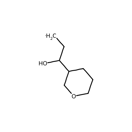 [CH2]CC(O)C1CCCOC1